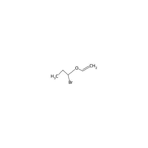 C=COC(Br)CC